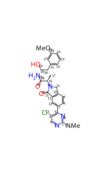 CNc1ncc(Cl)c(-c2ccc3c(c2)C(=O)N([C@H](C[C@H](CO)c2cccc(OC)c2)C(N)=O)C3)n1